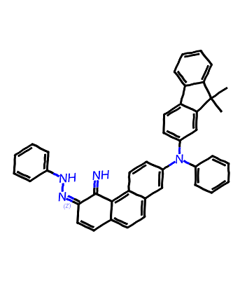 CC1(C)c2ccccc2-c2ccc(N(c3ccccc3)c3ccc4c5c(ccc4c3)C=C/C(=N/Nc3ccccc3)C5=N)cc21